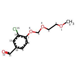 COCCOCOc1ccc(C=O)cc1Cl